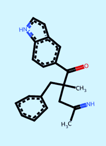 CC(=N)CC(C)(Cc1ccccc1)C(=O)c1ccc2[nH]ccc2c1